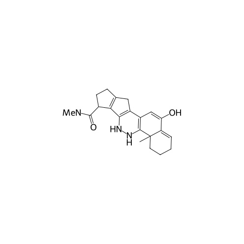 CNC(=O)C1CCC2=C1C1=C(C2)C2=C(NN1)C1(C)CCCC=C1C(O)=C2